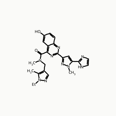 CCn1ncc(CN(C)C(=O)c2nc(-c3cc(-c4ncc[nH]4)n(C)n3)nc3ccc(O)cc23)c1C